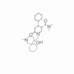 CN1CCC(O)(Cn2cc(C(=O)N(C)C)c(-c3ccccc3)cc2=O)C2(CCCCC2)C1